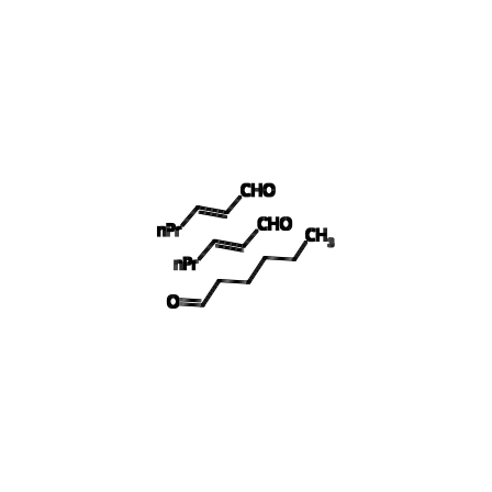 CCCC=CC=O.CCCC=CC=O.CCCCCC=O